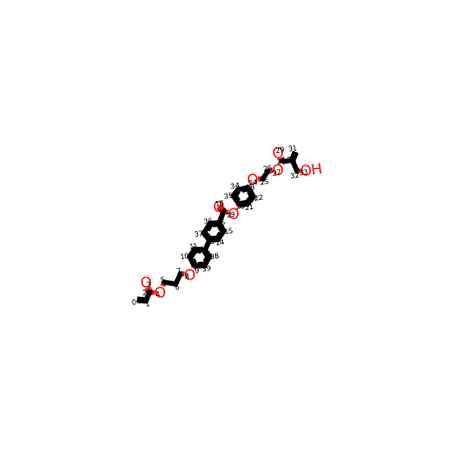 C=CC(=O)OCCCOc1ccc(-c2ccc(C(=O)Oc3ccc(OCCOC(=O)C(=C)CO)cc3)cc2)cc1